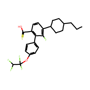 CCCC1CCC(c2ccc(C(O)=S)c(-c3ccc(OC(F)(F)C(F)F)cc3)c2F)CC1